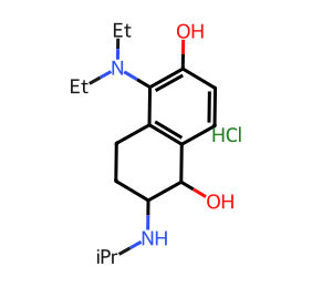 CCN(CC)c1c(O)ccc2c1CCC(NC(C)C)C2O.Cl